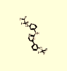 FC(F)C(F)(F)Oc1cccc(Nc2nccc(-c3cccc(OC(F)(F)F)c3)n2)c1